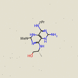 CCCNC1=NC(N)NC2=C1NC(NC)N=C2N[C@H](C)CO